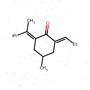 CC/C=C1\CC(C)C/C(=C(/C)C(C)C)C1=O